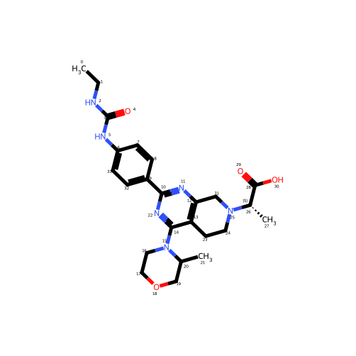 CCNC(=O)Nc1ccc(-c2nc3c(c(N4CCOCC4C)n2)CCN([C@@H](C)C(=O)O)C3)cc1